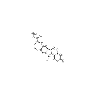 CC(C)(C)OC(=O)N1CCCc2cc3c(cc2C1)C(=O)N(C1CCC(=O)NC1=O)C3=O